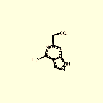 Nc1nc(CC(=O)O)nc2[nH]ncc12